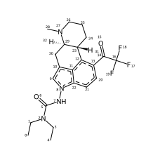 CCN(CC)C(=O)Nn1cc2c3c(c(C(=O)C(F)(F)F)ccc31)[C@H]1CCCN(C)[C@@H]1C2